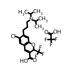 CC(C)N(CCCc1cc2c(cc1Cl)C=C(C(=O)O)C(C(F)(F)F)O2)C(C)C.O=C(O)C(F)(F)F